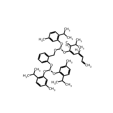 C=C/C=C(C)\C=C(\OP(OCc1ccccc1OP(Oc1cc(C)ccc1C(C)C)Oc1cc(C)ccc1C(C)C)Oc1cc(C)ccc1C(C)C)C(C)C(C)C